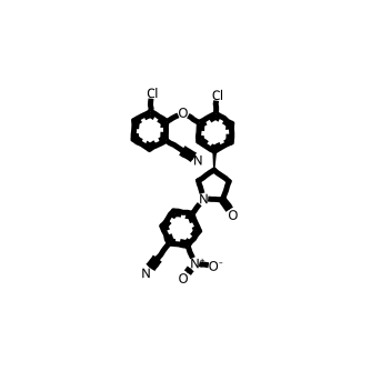 N#Cc1ccc(N2C[C@@H](c3ccc(Cl)c(Oc4c(Cl)cccc4C#N)c3)CC2=O)cc1[N+](=O)[O-]